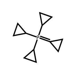 C1CC1=P(C1CC1)(C1CC1)C1CC1